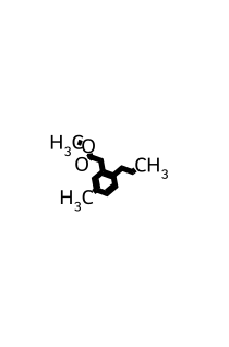 CCCc1ccc(C)cc1CC(=O)OC